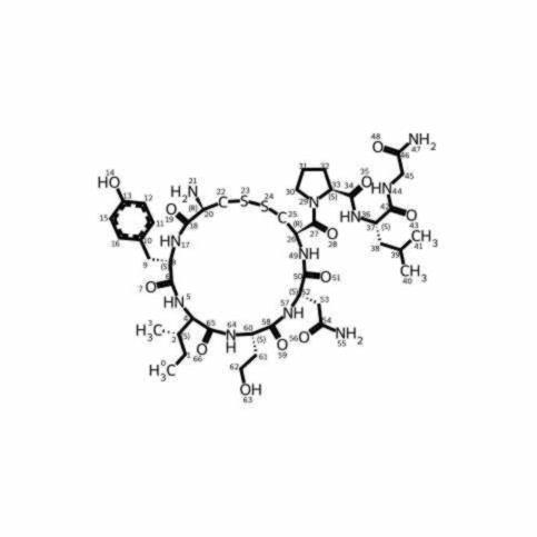 CC[C@H](C)C1NC(=O)[C@H](Cc2ccc(O)cc2)NC(=O)[C@@H](N)CSSC[C@@H](C(=O)N2CCC[C@H]2C(=O)N[C@@H](CC(C)C)C(=O)NCC(N)=O)NC(=O)[C@H](CC(N)=O)NC(=O)[C@H](CCO)NC1=O